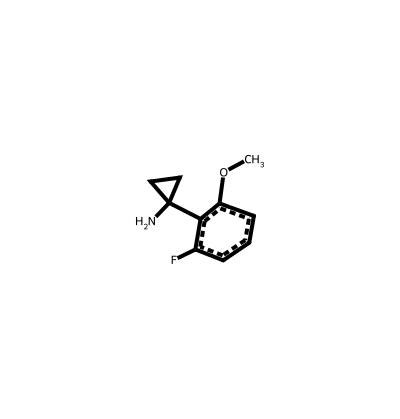 COc1cccc(F)c1C1(N)CC1